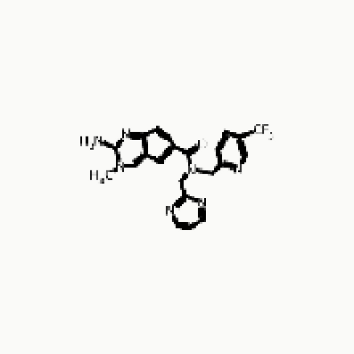 CN1C=c2cc(C(=O)N(Cc3ccc(C(F)(F)F)cn3)Cc3ncccn3)ccc2=NC1N